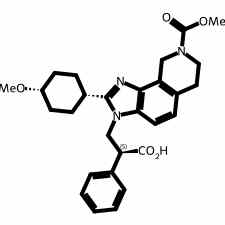 COC(=O)N1CCc2ccc3c(nc([C@H]4CC[C@@H](OC)CC4)n3C[C@@H](C(=O)O)c3ccccc3)c2C1